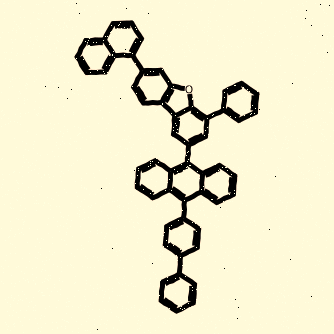 c1ccc(-c2ccc(-c3c4ccccc4c(-c4cc(-c5ccccc5)c5oc6cc(-c7cccc8ccccc78)ccc6c5c4)c4ccccc34)cc2)cc1